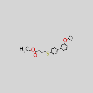 CCOC(=O)CCCSc1ccc(-c2cccc(OC3CCC3)c2)cc1